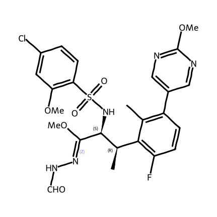 CO/C(=N\NC=O)[C@@H](NS(=O)(=O)c1ccc(Cl)cc1OC)[C@H](C)c1c(F)ccc(-c2cnc(OC)nc2)c1C